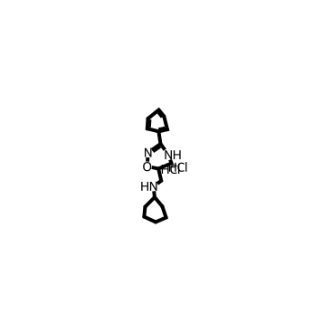 Cl.Cl.c1ccc(C2=NOC(CNC3CCCCC3)CN2)cc1